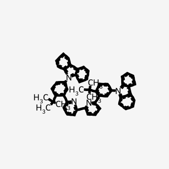 CC(C)(C)c1ccc(-n2c3ccccc3c3ccccc32)cc1-c1cccc(-c2cccc(-c3cc(-n4c5ccccc5c5ccccc54)ccc3C(C)(C)C)n2)n1